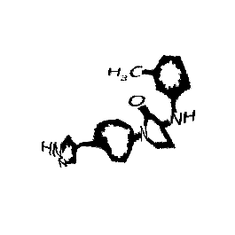 Cc1cccc(NC2CCN(c3ccc(-c4cn[nH]c4)cc3)C2=O)c1